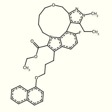 CCOC(=O)c1c(CCCOc2cccc3ccccc23)c2ccc(F)c3c2n1CCCCOCc1nn(C)c(CC)c1-3